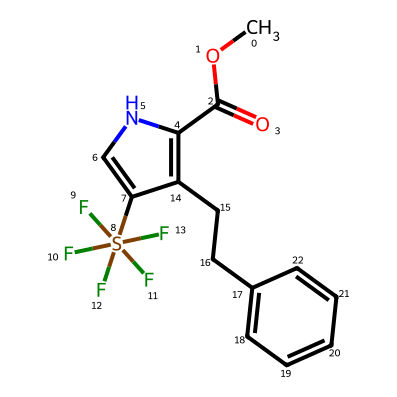 COC(=O)c1[nH]cc(S(F)(F)(F)(F)F)c1CCc1ccccc1